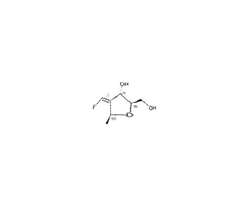 C[C@@H]1O[C@H](CO)[C@@H](O)/C1=C/F